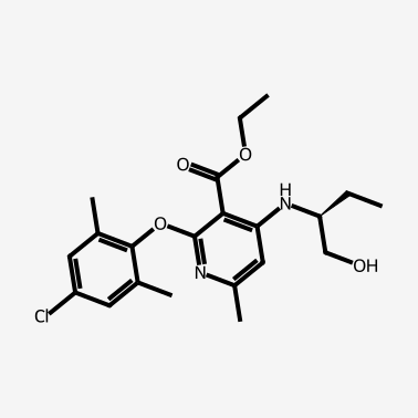 CCOC(=O)c1c(N[C@@H](CC)CO)cc(C)nc1Oc1c(C)cc(Cl)cc1C